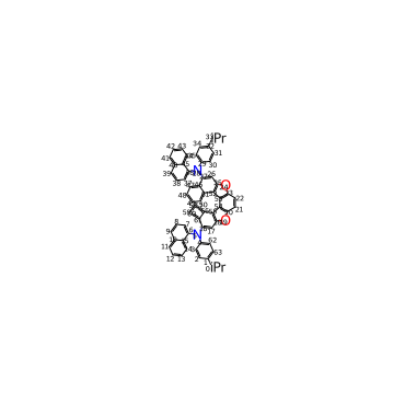 CC(C)c1ccc(N(c2cccc3ccccc23)c2cc3oc4ccc5oc6cc(N(c7ccc(C(C)C)cc7)c7cccc8ccccc78)c7ccccc7c6c5c4c3c3ccccc23)cc1